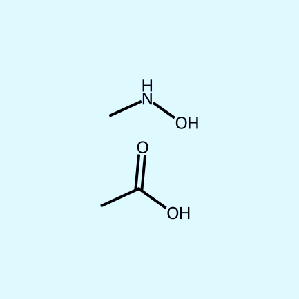 CC(=O)O.CNO